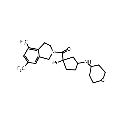 CC(C)C1(C(=O)N2CCc3c(cc(C(F)(F)F)cc3C(F)(F)F)C2)CCC(NC2CCOCC2)C1